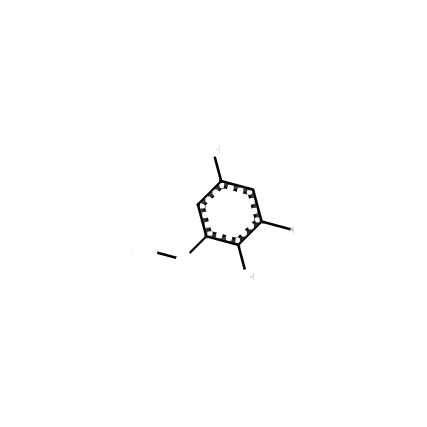 COc1cc(O)cc(I)c1O